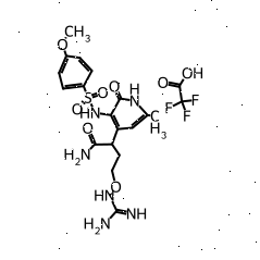 COc1ccc(S(=O)(=O)Nc2c(C(CCONC(=N)N)C(N)=O)cc(C)[nH]c2=O)cc1.O=C(O)C(F)(F)F